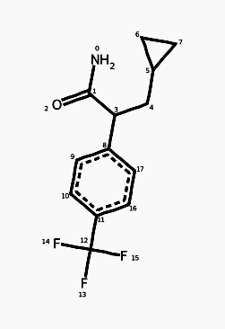 NC(=O)C(CC1CC1)c1ccc(C(F)(F)F)cc1